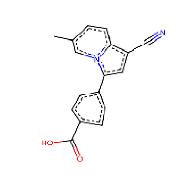 Cc1ccc2c(C#N)cc(-c3ccc(C(=O)O)cc3)n2c1